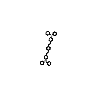 C1=CC(N(C2=CC=C(C=Cc3ccc(C=CC4=CC=C(N(C5=CCCC=C5)c5ccccc5)CC4)cc3)CC2)c2ccccc2)=CCC1